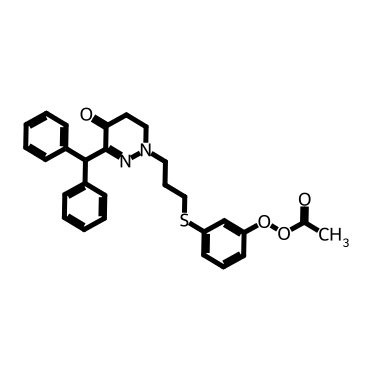 CC(=O)OOc1cccc(SCCCN2CCC(=O)C(C(c3ccccc3)c3ccccc3)=N2)c1